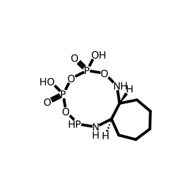 O=P1(O)ON[C@@H]2CCCCC[C@H]2NPOP(=O)(O)O1